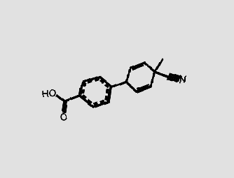 CC1(C#N)C=CC(c2ccc(C(=O)O)cc2)C=C1